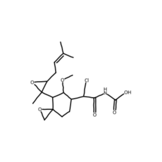 COC1C(C(Cl)C(=O)NC(=O)O)CCC2(CO2)C1C1(C)OC1CC=C(C)C